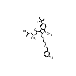 C[C@H](CC(=O)O)CC(=O)c1c(CCCCOCc2cccc(Cl)c2)n(C)c2ccc(C(F)(F)F)cc12